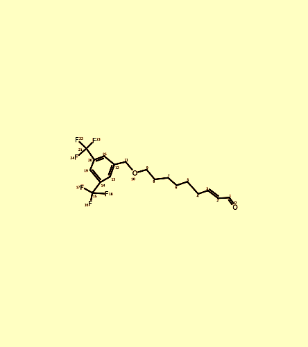 O=CC=CCCCCCCOCc1cc(C(F)(F)F)cc(C(F)(F)F)c1